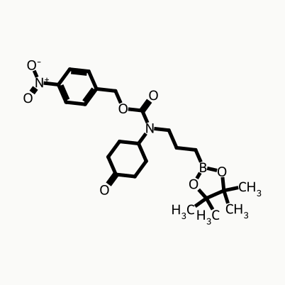 CC1(C)OB(CCCN(C(=O)OCc2ccc([N+](=O)[O-])cc2)C2CCC(=O)CC2)OC1(C)C